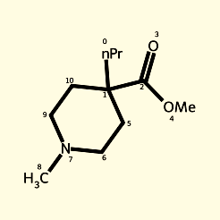 CCCC1(C(=O)OC)CCN(C)CC1